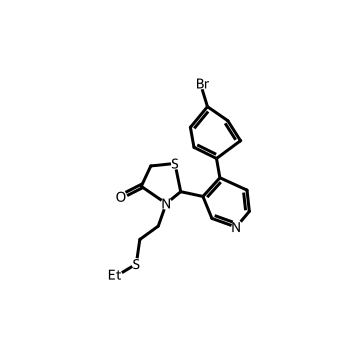 CCSCCN1C(=O)CSC1c1cnccc1-c1ccc(Br)cc1